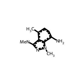 CNc1nn(C)c2c(N)ccc(C)c12